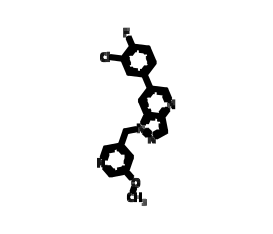 COc1cncc(Cn2ncc3ncc(-c4ccc(F)c(Cl)c4)cc32)c1